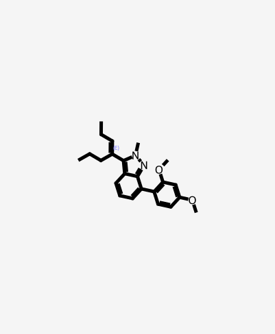 CC/C=C(\CCC)c1c2cccc(-c3ccc(OC)cc3OC)c2nn1C